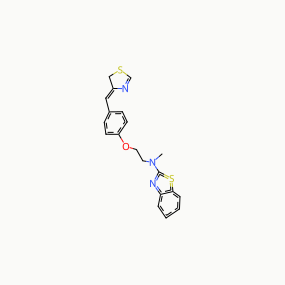 CN(CCOc1ccc(C=C2CSC=N2)cc1)c1nc2ccccc2s1